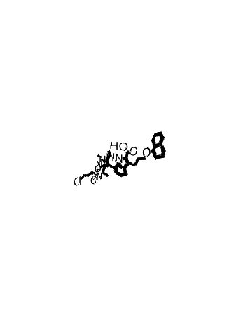 CCc1c(-c2cccc3c(CCCOc4cccc5ccccc45)c(C(=O)O)[nH]c23)c(C(C)N(C)S(=O)(=O)CCCCl)nn1C